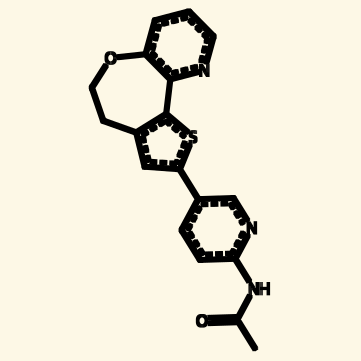 CC(=O)Nc1ccc(-c2cc3c(s2)-c2ncccc2OCC3)cn1